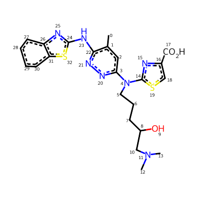 Cc1cc(N(CCCC(O)CN(C)C)c2nc(C(=O)O)cs2)nnc1Nc1nc2ccccc2s1